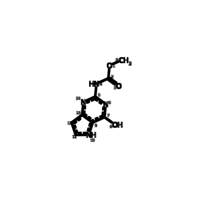 COC(=O)Nc1nc(O)c2[nH]ccc2n1